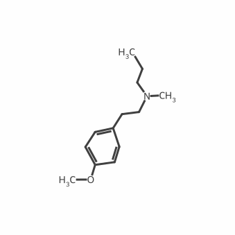 CCCN(C)CCc1ccc(OC)cc1